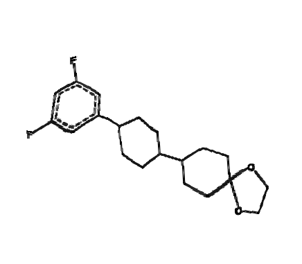 Fc1cc(F)cc(C2CCC(C3CCC4(CC3)OCCO4)CC2)c1